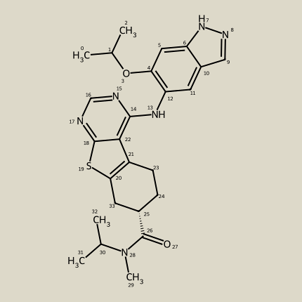 CC(C)Oc1cc2[nH]ncc2cc1Nc1ncnc2sc3c(c12)CC[C@H](C(=O)N(C)C(C)C)C3